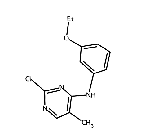 CCOc1cccc(Nc2nc(Cl)ncc2C)c1